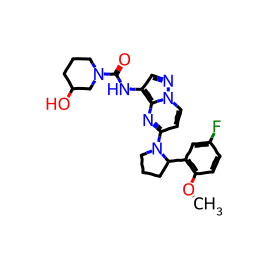 COc1ccc(F)cc1C1CCCN1c1ccn2ncc(NC(=O)N3CCCC(O)C3)c2n1